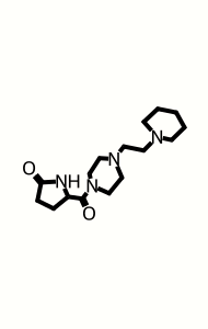 O=C1CCC(C(=O)N2CCN(CCN3CCCCC3)CC2)N1